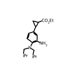 CCOC(=O)C1CC1c1ccc(N(CC(C)C)CC(C)C)c(N)c1